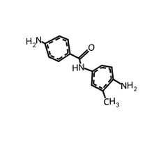 Cc1cc(NC(=O)c2ccc(N)cc2)ccc1N